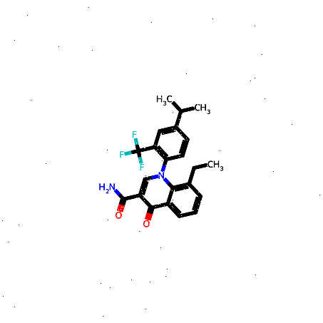 CCc1cccc2c(=O)c(C(N)=O)cn(-c3ccc(C(C)C)cc3C(F)(F)F)c12